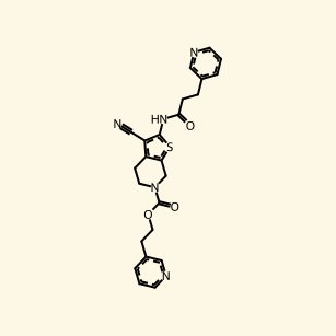 N#Cc1c(NC(=O)CCc2cccnc2)sc2c1CCN(C(=O)OCCc1cccnc1)C2